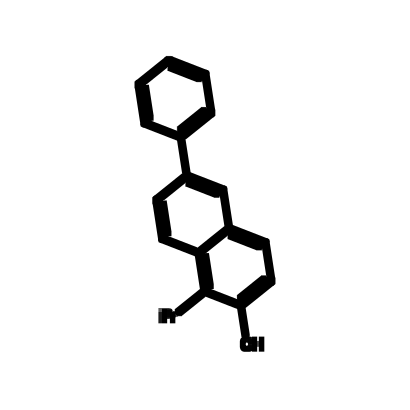 CC(C)c1c(O)ccc2cc(-c3ccccc3)ccc12